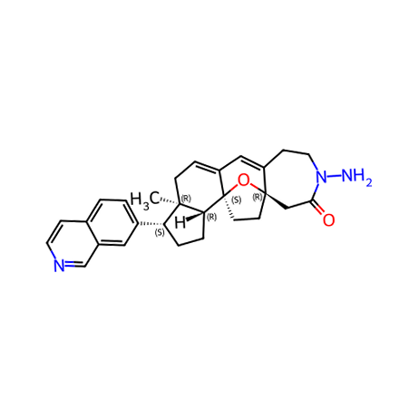 C[C@]12CC=C3C=C4CCN(N)C(=O)C[C@]45CC[C@]3(O5)[C@@H]1CC[C@@H]2c1ccc2ccncc2c1